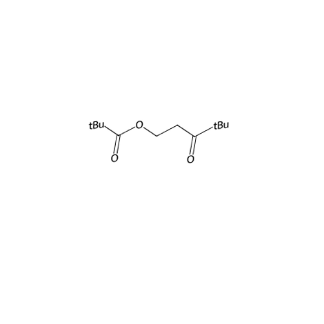 CC(C)(C)C(=O)CCOC(=O)C(C)(C)C